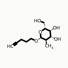 C#CCCCO[C@@H]1O[C@H](CO)[C@H](O)[C@H](O)[C@H]1C